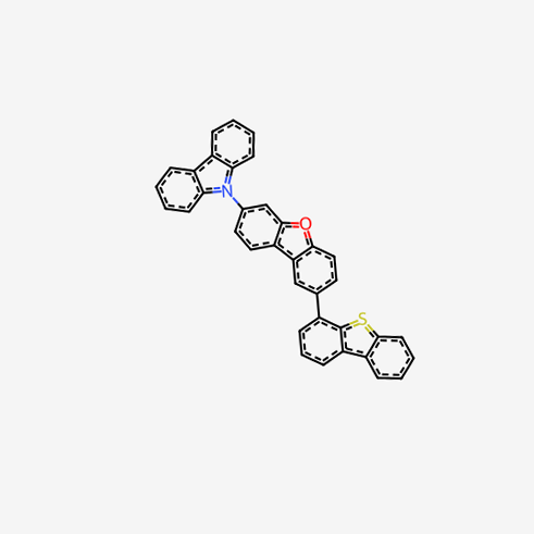 c1ccc2c(c1)sc1c(-c3ccc4oc5cc(-n6c7ccccc7c7ccccc76)ccc5c4c3)cccc12